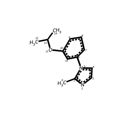 Cc1nccn1-c1cccc(OC(C)C)c1